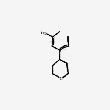 C/C=C(\C=C(/C)S)C1CCOCC1